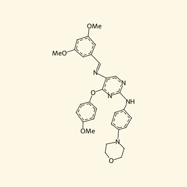 COc1ccc(Oc2nc(Nc3ccc(N4CCOCC4)cc3)ncc2/N=C/c2cc(OC)cc(OC)c2)cc1